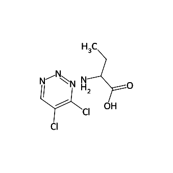 CCC(N)C(=O)O.Clc1cnnnc1Cl